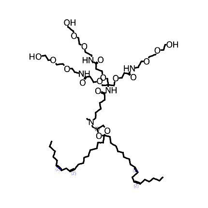 CCCCC/C=C\C/C=C\CCCCCCCCC1(CCCCCCCC/C=C\C/C=C\CCCCC)OC[C@H](CN(C)CCCCCC(=O)NC(COCCC(=O)NCCOCCOCCO)(COCCC(=O)NCCOCCOCCO)COCCC(=O)NCCOCCOCCO)O1